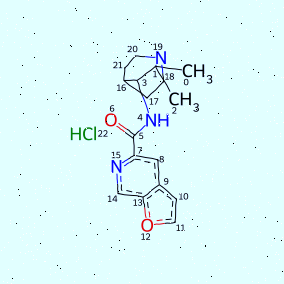 CC1(C)C(NC(=O)c2cc3ccoc3cn2)C2CCN1CC2.Cl